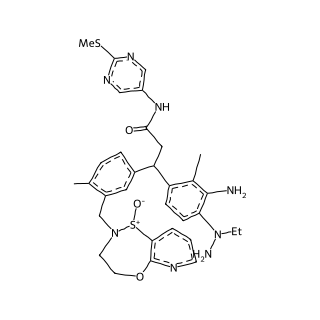 CCN(N)c1ccc(C(CC(=O)Nc2cnc(SC)nc2)c2ccc(C)c(CN3CCOc4ncccc4[S+]3[O-])c2)c(C)c1N